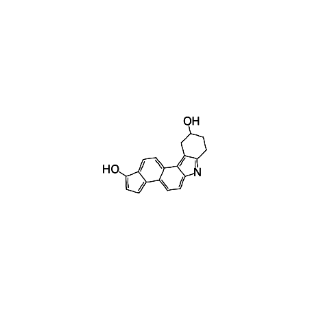 OC1=CC=c2c1ccc1c3c(ccc21)N=C1CCC(O)CC=31